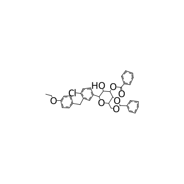 CCOc1ccc(Cc2cc(C3OC4COC(c5ccccc5)OC4C(OC(=O)c4ccccc4)C3O)ccc2Cl)cc1